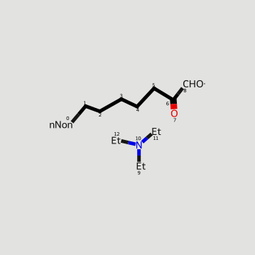 CCCCCCCCCCCCCCC(=O)[C]=O.CCN(CC)CC